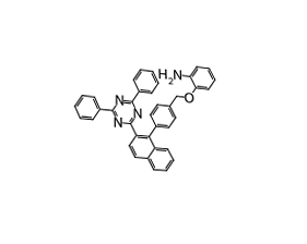 Nc1ccccc1OCc1ccc(-c2c(-c3nc(-c4ccccc4)nc(-c4ccccc4)n3)ccc3ccccc23)cc1